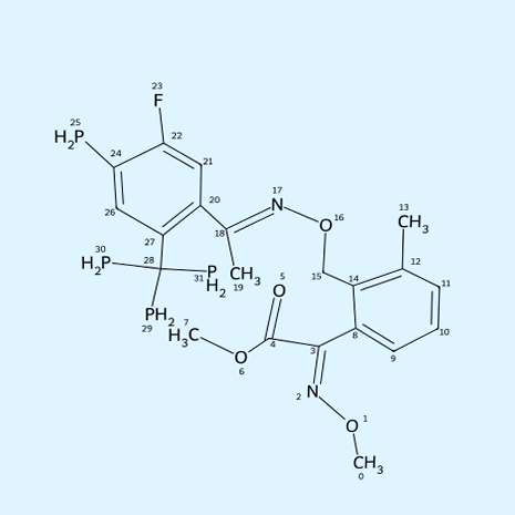 CO/N=C(/C(=O)OC)c1cccc(C)c1CO/N=C(\C)c1cc(F)c(P)cc1C(P)(P)P